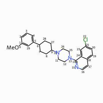 COc1cccc(C2CCC(N3CCN(c4nccc5ccc(Cl)cc45)CC3)CC2)c1